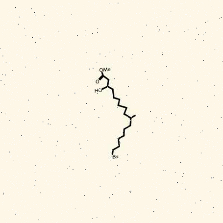 CCC(C)CCCCCCC(C)CCCCCCC(O)CC(=O)OC